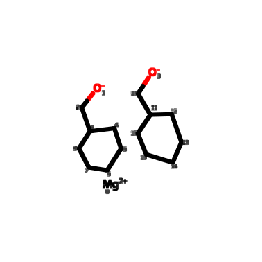 [Mg+2].[O-]CC1CCCCC1.[O-]CC1CCCCC1